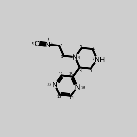 [C-]#[N+]CCN1CCNCC1c1cnccn1